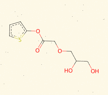 O=C(COCC(O)CO)Oc1cccs1